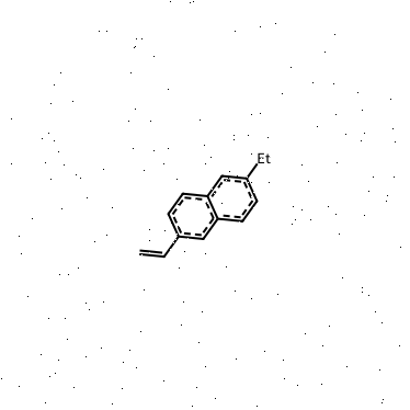 C=Cc1ccc2cc(CC)ccc2c1